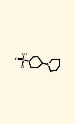 O=P(O)(Cl)N1CCC(N2CCCCC2)CC1